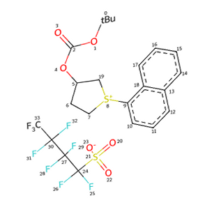 CC(C)(C)OC(=O)OC1CC[S+](c2cccc3ccccc23)C1.O=S(=O)([O-])C(F)(F)C(F)(F)C(F)(F)C(F)(F)F